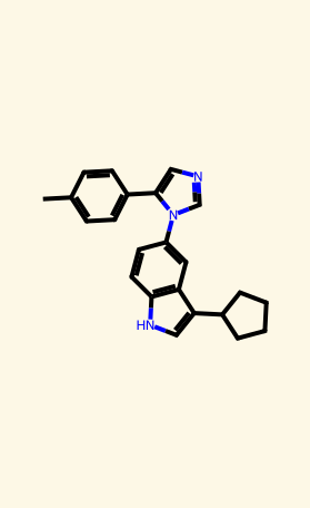 Cc1ccc(-c2cncn2-c2ccc3[nH]cc(C4CCCC4)c3c2)cc1